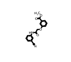 COC(=O)c1cccc(OCC(=O)Nc2cccc(C#N)c2)c1